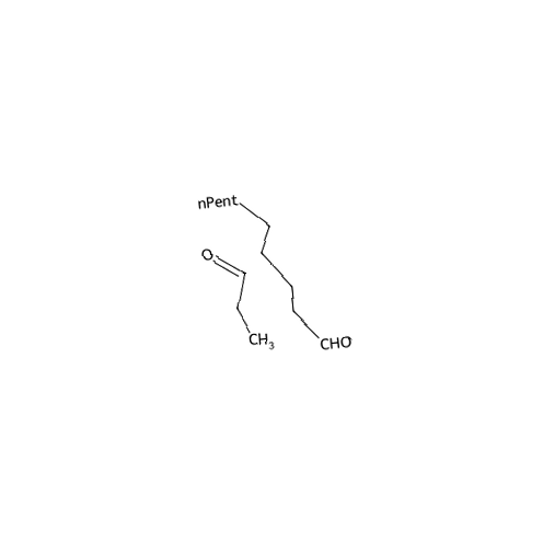 CCC=O.CCCCCCCCCC=O